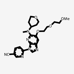 COCCOCCOc1cc2ncn(-c3ccc(C#N)cn3)c2nc1N(C)C1CCOCC1